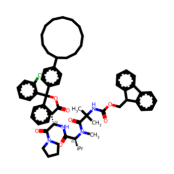 CC(C)[C@@H](C(=O)N[C@@H](CC(=O)OC(c1ccccc1)(c1ccc(C2CCCCCCCCCCCC2)cc1)c1ccccc1Cl)C(=O)N1CCCC1)N(C)C(=O)C(C)(C)NC(=O)OCC1c2ccccc2-c2ccccc21